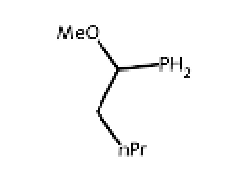 CCCCC(P)OC